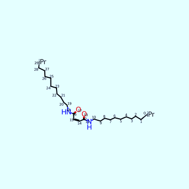 CC(C)CCCCCCCCCCNC(=O)/C=C\C(=O)NCCCCCCCCCCC(C)C